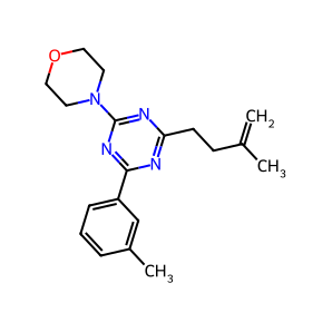 C=C(C)CCc1nc(-c2cccc(C)c2)nc(N2CCOCC2)n1